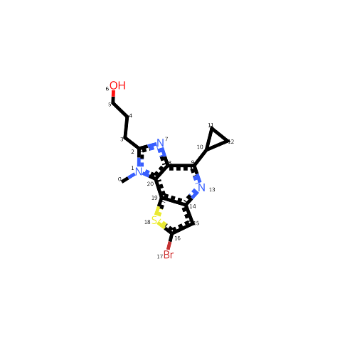 Cn1c(CCCO)nc2c(C3CC3)nc3cc(Br)sc3c21